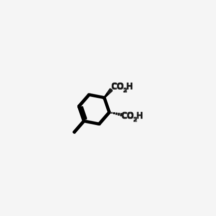 CC1=CC[C@@H](C(=O)O)[C@H](C(=O)O)C1